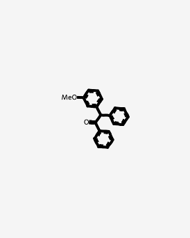 COc1cccc(C(C(=O)c2ccccc2)c2ccccc2)c1